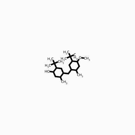 COC1CC(C)C(CC2CC(C(C)(C)C)C(O)CC2C)CC1C(C)(C)C